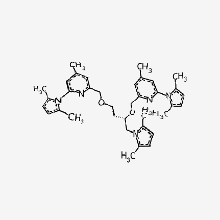 Cc1cc(COCC[C@@H](Cn2c(C)ccc2C)OCc2cc(C)cc(-n3c(C)ccc3C)n2)nc(-n2c(C)ccc2C)c1